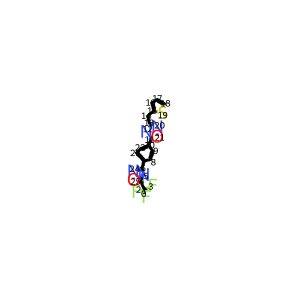 FC(F)(F)c1nc(-c2ccc(-c3nc(Cc4cccs4)no3)cc2)no1